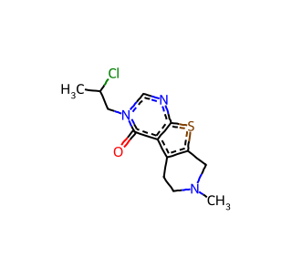 CC(Cl)Cn1cnc2sc3c(c2c1=O)CCN(C)C3